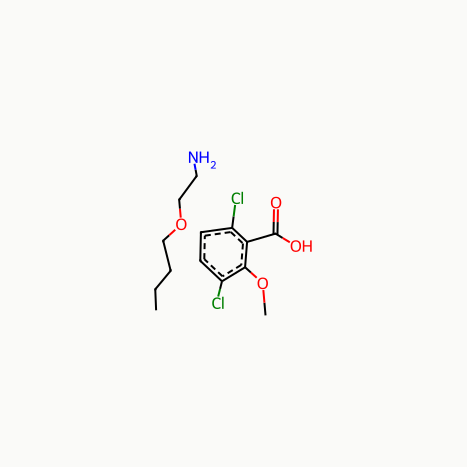 CCCCOCCN.COc1c(Cl)ccc(Cl)c1C(=O)O